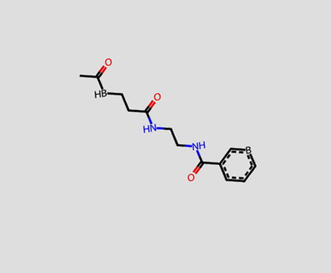 CC(=O)BCCC(=O)NCCNC(=O)c1cbccc1